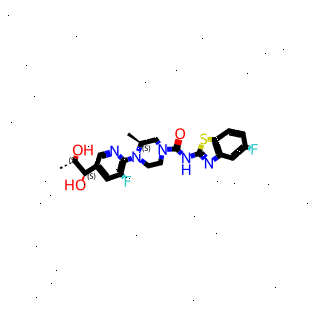 C[C@H](O)[C@@H](O)c1cnc(N2CCN(C(=O)Nc3nc4cc(F)ccc4s3)C[C@@H]2C)c(F)c1